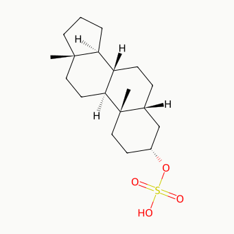 C[C@@]12CCC[C@H]1[C@@H]1CC[C@@H]3C[C@H](OS(=O)(=O)O)CC[C@]3(C)[C@H]1CC2